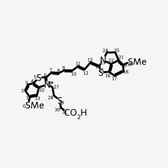 CSc1ccc2sc(/C=C/C=C/C=C/C=C3\Sc4ccc(SC)c5c4N3CC5)[n+](CCSCC(=O)O)c2c1